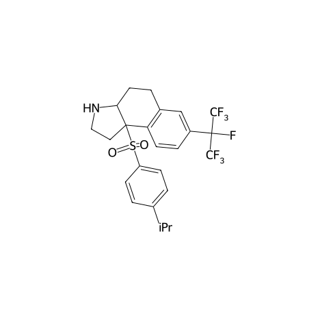 CC(C)c1ccc(S(=O)(=O)C23CCNC2CCc2cc(C(F)(C(F)(F)F)C(F)(F)F)ccc23)cc1